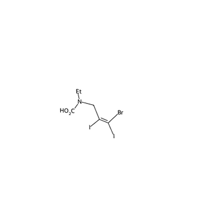 CCN(C/C(I)=C(\Br)I)C(=O)O